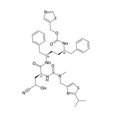 CC(C)c1nc(CN(C)C(=O)N[C@@H](CC(O)C#N)C(=O)N[C@H](CC[C@H](Cc2ccccc2)NC(=O)OCc2cncs2)Cc2ccccc2)cs1